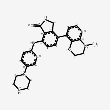 CN1CCOc2c(-c3ccc(Nc4ccc(N5CCNCC5)cn4)c4c3CNC4=O)ccnc21